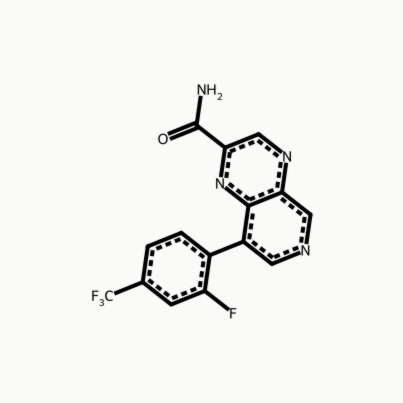 NC(=O)c1cnc2cncc(-c3ccc(C(F)(F)F)cc3F)c2n1